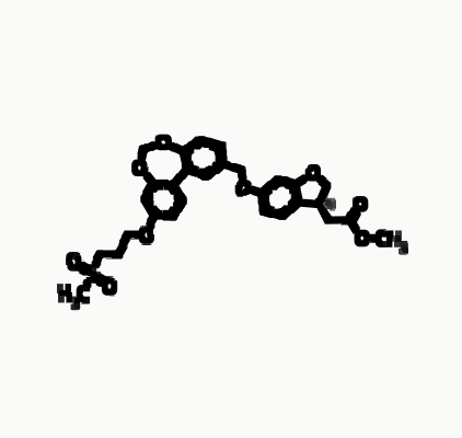 COC(=O)C[C@@H]1COc2cc(OCc3ccc4c(c3)-c3ccc(OCCCS(C)(=O)=O)cc3OCO4)ccc21